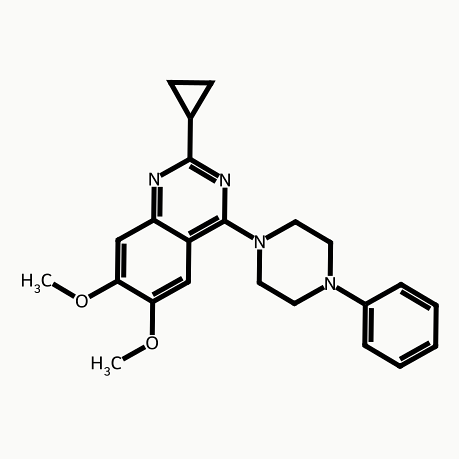 COc1cc2nc(C3CC3)nc(N3CCN(c4ccccc4)CC3)c2cc1OC